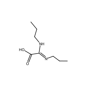 CCCN=C(NCCC)C(=O)O